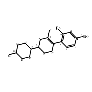 CCCc1ccc(C2=C(C)CC(C3CCC(C)CC3)CC2)c(F)c1